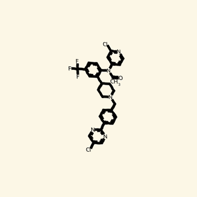 CC(=O)N(c1ccnc(Cl)c1)c1ccc(C(F)(F)F)cc1C1CCN(Cc2ccc(-c3ncc(Cl)cn3)cc2)CC1